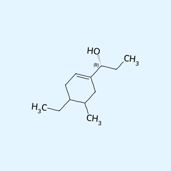 CCC1CC=C([C@H](O)CC)CC1C